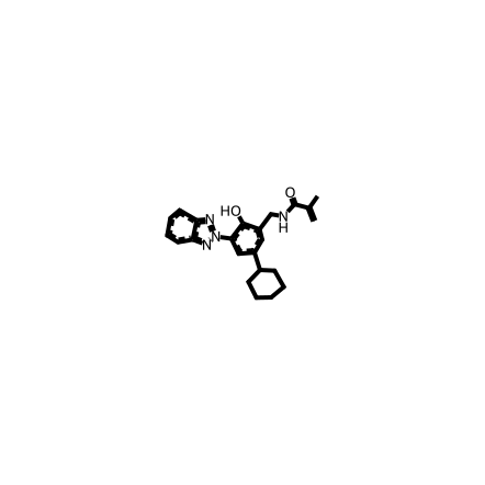 C=C(C)C(=O)NCc1cc(C2CCCCC2)cc(-n2nc3ccccc3n2)c1O